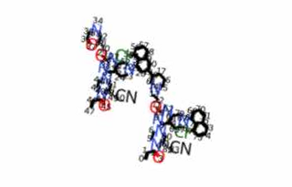 C=CC(=O)N1CCN(c2nc(OCCN3CCCC(c4cc(N5CCc6c(nc(OC[C@H]7CN(C)CCO7)nc6N6CCN(C(=O)C=C)[C@@H](CC#N)C6)C5)c5c(Cl)cccc5c4)C3)nc3c2CCN(c2cccc4cccc(Cl)c24)C3)C[C@@H]1CC#N